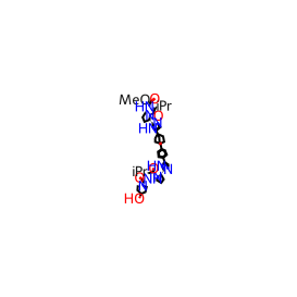 COC(=O)N[C@H](C(=O)N1CCC[C@H]1c1ncc(C23CCC(c4ccc(-c5cnc([C@@H]6CCCN6C(=O)[C@@H](NC(=O)N6CCC(O)CC6)C(C)C)[nH]5)cc4)(CC2)CC3)[nH]1)C(C)C